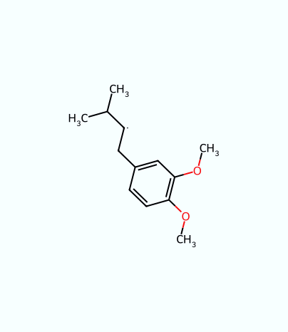 COc1ccc(C[CH]C(C)C)cc1OC